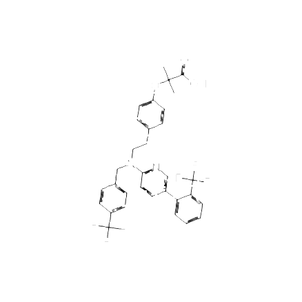 CC(C)(Oc1ccc(CCN(Cc2ccc(C(F)(F)F)cc2)c2ccc(-c3ccccc3C(F)(F)F)cn2)cc1)C(=O)O